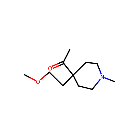 COCCC1(C(C)=O)CCN(C)CC1